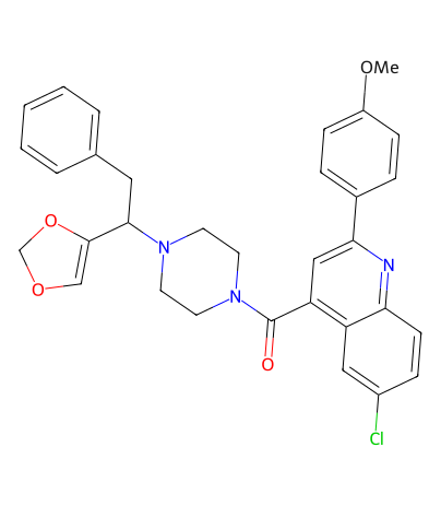 COc1ccc(-c2cc(C(=O)N3CCN(C(Cc4ccccc4)C4=COCO4)CC3)c3cc(Cl)ccc3n2)cc1